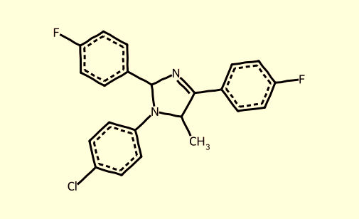 CC1C(c2ccc(F)cc2)=NC(c2ccc(F)cc2)N1c1ccc(Cl)cc1